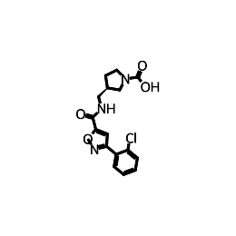 O=C(NC[C@H]1CCN(C(=O)O)C1)c1cc(-c2ccccc2Cl)no1